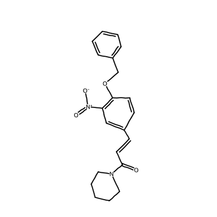 O=C(C=Cc1ccc(OCc2ccccc2)c([N+](=O)[O-])c1)N1CCCCC1